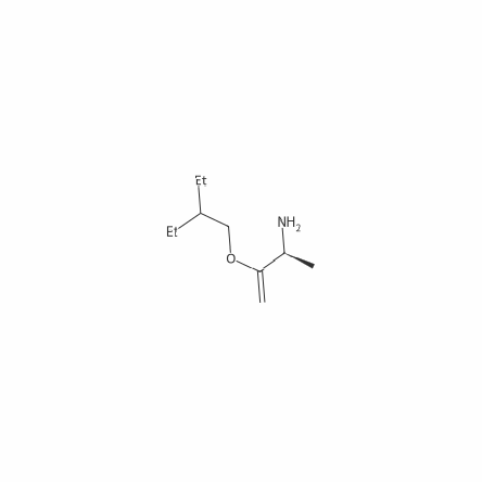 C=C(OCC(CC)CC)[C@H](C)N